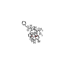 CC(C)[C@@H]1NC(=O)[C@@H](NC(=O)OCc2ccccc2)Cc2ccc3c(c2)C2(c4cccc(Br)c4N[C@H]2O3)c2oc1nc2C(=O)O